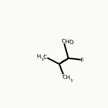 CC(C)C(F)C=O